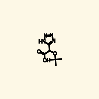 CC(C)(C)OC(C(=O)O)c1nnn[nH]1